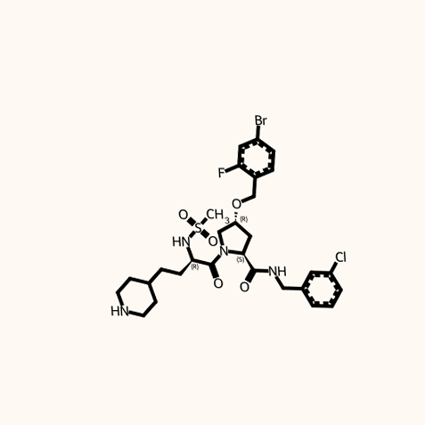 CS(=O)(=O)N[C@H](CCC1CCNCC1)C(=O)N1C[C@H](OCc2ccc(Br)cc2F)C[C@H]1C(=O)NCc1cccc(Cl)c1